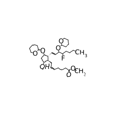 CCCCC(F)[C@@H](/C=C/[C@@H]1[C@@H](C/C=C\CCCC(=O)OC)[C@@H](O)C[C@H]1OC1CCCCO1)OC1CCCCO1